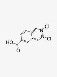 O=C(O)c1ccc2c(c1)=CN(Cl)N(Cl)C=2